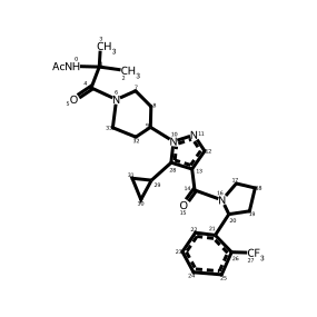 CC(=O)NC(C)(C)C(=O)N1CCC(n2ncc(C(=O)N3CCCC3c3ccccc3C(F)(F)F)c2C2CC2)CC1